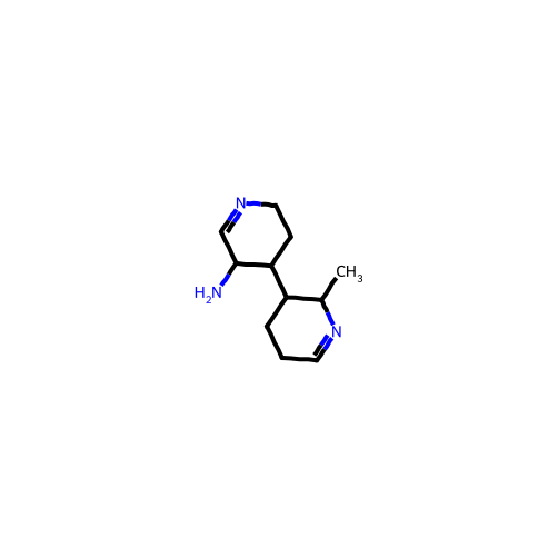 CC1N=CCCC1C1CCN=CC1N